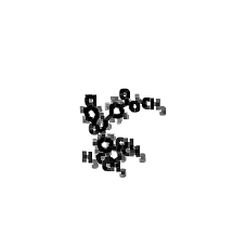 CCOC(=O)c1ccc(/C=C/C(Oc2ccc(Cl)cc2)c2ccc3c(c2)C(C)(C)CCC3(C)C)cc1